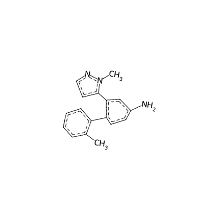 Cc1ccccc1-c1ccc(N)cc1-c1ccnn1C